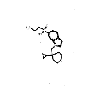 N=S(=O)(CCN)c1ccc2ccn(CC3(C4CC4)CCOCC3)c2c1